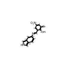 O=[N+]([O-])c1cc(Br)c(O)c(/C=N/c2ccc3c[nH]cc3c2)c1